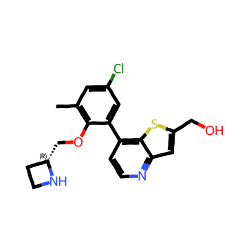 Cc1cc(Cl)cc(-c2ccnc3cc(CO)sc23)c1OC[C@H]1CCN1